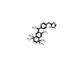 C=C(c1ccc(Cc2ncn[nH]2)cn1)c1cc2c(cc1C)C(C)(C)C=CC2(C)C